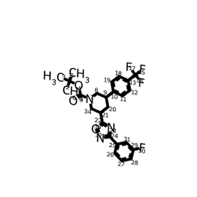 CC(C)(C)OC(=O)N1CC(c2ccc(C(F)(F)F)cc2)CC(c2nc(-c3cccc(F)c3)no2)C1